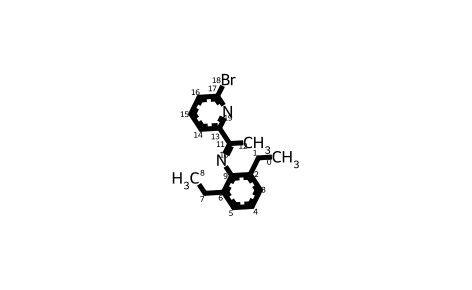 CCc1cccc(CC)c1N=C(C)c1cccc(Br)n1